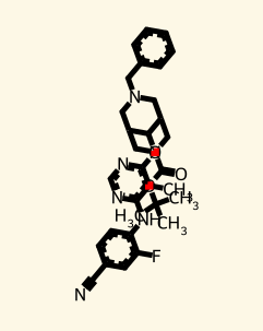 Cc1c(Nc2ccc(C#N)cc2F)ncnc1OC1C2CN(Cc3ccccc3)CC1CN(C(=O)OC(C)(C)C)C2